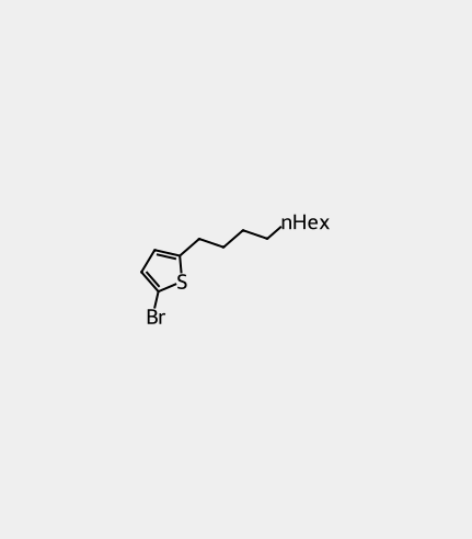 CCCCCCCCCCc1ccc(Br)s1